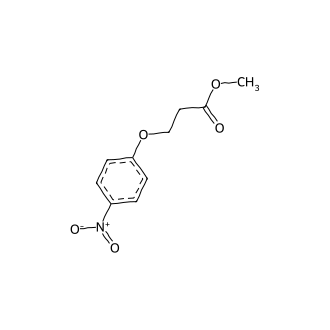 COC(=O)CCOc1ccc([N+](=O)[O-])cc1